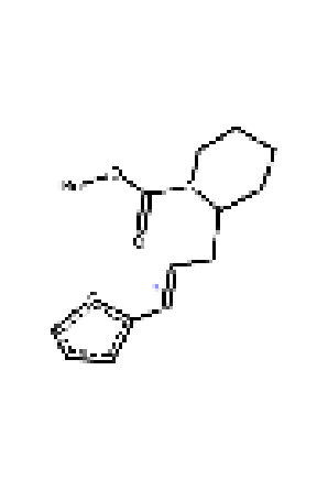 CC(C)(C)OC(=O)N1CCCCC1C/C=C/c1cccs1